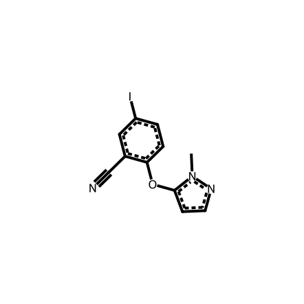 Cn1nccc1Oc1ccc(I)cc1C#N